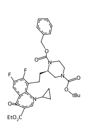 CCOC(=O)c1cn(C2CC2)c2c(CC[C@@H]3CN(C(=O)OC(C)(C)C)CCN3C(=O)OCc3ccccc3)c(F)c(F)cc2c1=O